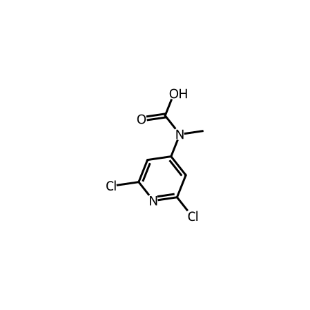 CN(C(=O)O)c1cc(Cl)nc(Cl)c1